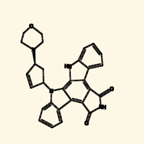 O=C1NC(=O)c2c1c1c3ccccc3[nH]c1c1c2c2ccccc2n1C1C=C[C@@H](N2CCOCC2)C1